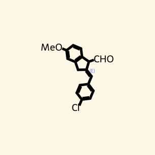 COc1ccc2c(c1)C/C(=C\c1ccc(Cl)cc1)C2C=O